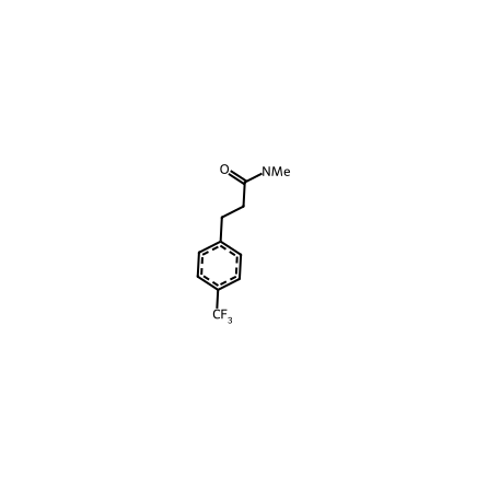 CNC(=O)CCc1ccc(C(F)(F)F)cc1